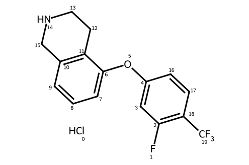 Cl.Fc1cc(Oc2cccc3c2CCNC3)ccc1C(F)(F)F